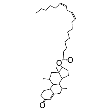 CCCCC/C=C\C/C=C\CCCCCCCC(=O)O[C@H]1CCC2C3C(C4CCC(=O)C=C4C[C@@H]3C)[C@@H](C)C[C@@]21C